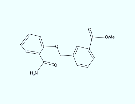 COC(=O)c1cccc(COc2ccccc2C(N)=O)c1